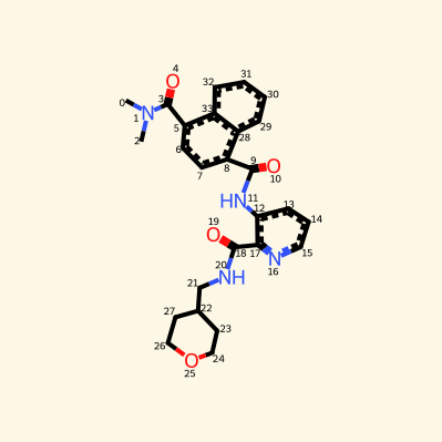 CN(C)C(=O)c1ccc(C(=O)Nc2cccnc2C(=O)NCC2CCOCC2)c2ccccc12